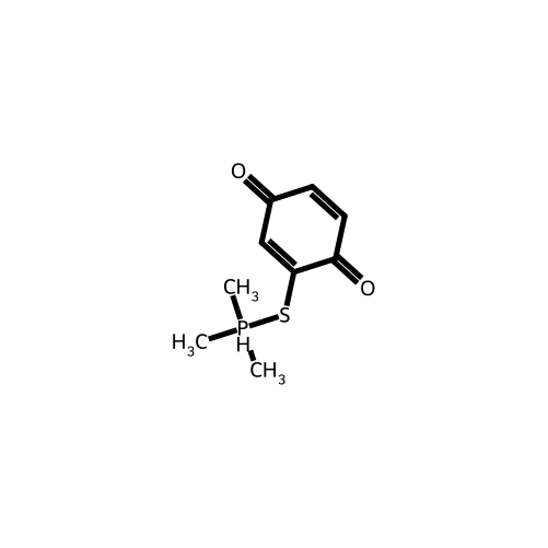 C[PH](C)(C)SC1=CC(=O)C=CC1=O